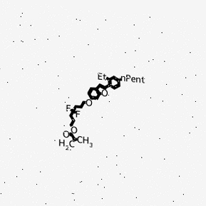 C=C(C)C(=O)OCCCC(F)(F)CCCOc1ccc2cc(-c3ccc(CCCCC)cc3CC)oc2c1